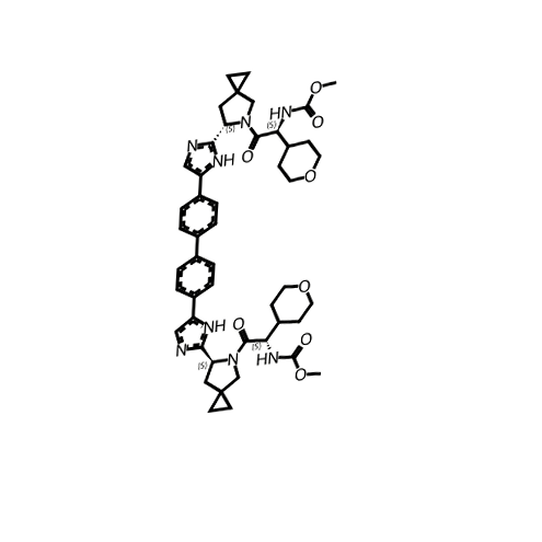 COC(=O)N[C@H](C(=O)N1CC2(CC2)C[C@H]1c1ncc(-c2ccc(-c3ccc(-c4cnc([C@@H]5CC6(CC6)CN5C(=O)[C@@H](NC(=O)OC)C5CCOCC5)[nH]4)cc3)cc2)[nH]1)C1CCOCC1